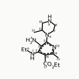 CCNc1c(N)c(N2CCNCC2C)nc(C)c1C(=O)OCC